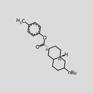 CCCCC1CCC2C[C@H](C(=O)Oc3ccc(C)cc3)CC[C@@H]2C1